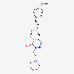 COc1ccc(/C=C/c2ccc3c(=O)n(CCN4CCOCC4)ncc3c2)cc1